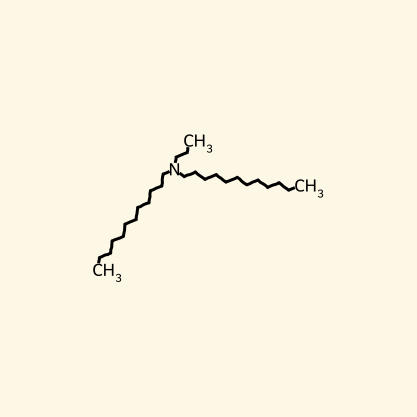 CCCCCCCCCCCCN(CCC)CCCCCCCCCCCC